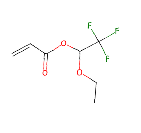 C=CC(=O)OC(OCC)C(F)(F)F